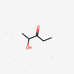 [CH2]CC(=O)C(C)O